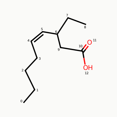 CCCC/C=C\C(CC)CC(=O)O